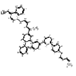 N/C=C\C=C/Cc1ccc(-c2cccc(-c3ccc4c(c3)C3C=C(/C(N)=C/C=C\CC/C=C\C(=C/N)c5ccccn5)C=CC3c3ccccc3-4)n2)nc1